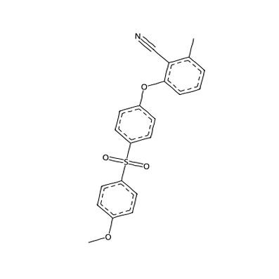 COc1ccc(S(=O)(=O)c2ccc(Oc3cccc(C)c3C#N)cc2)cc1